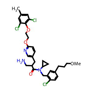 COCCCc1ccc(Cl)c(CN(C(=O)C(CN)Cc2ccc(OCCOc3c(Cl)cc(C)cc3Cl)nc2)C2CC2)c1